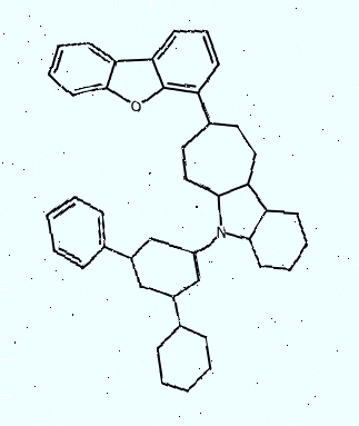 c1ccc(C2CC(C3CCCCC3)CC(N3C4CCCCC4C4CCC(c5cccc6c5oc5ccccc56)CCC43)C2)cc1